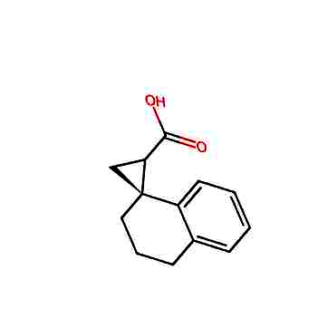 O=C(O)C1C[C@@]12CCCc1ccccc12